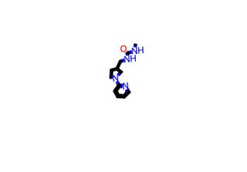 CNC(=O)NCC1CCN(c2ccccn2)C1